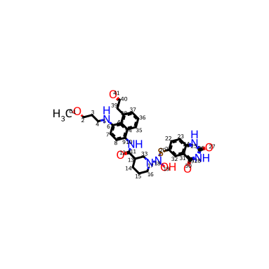 COCCCNc1ccc(NC(=O)C2CCCN(N(O)Sc3ccc4[nH]c(=O)[nH]c(=O)c4c3)C2)c2cccc(CC=O)c12